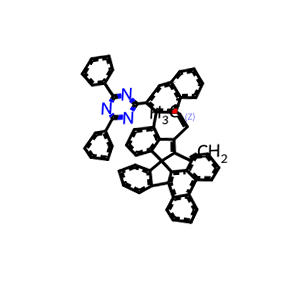 C=CC1=C(/C=C\C)c2c(-c3cc4ccccc4cc3-c3nc(-c4ccccc4)nc(-c4ccccc4)n3)cccc2C12c1ccccc1-c1c2c2ccccc2c2ccccc12